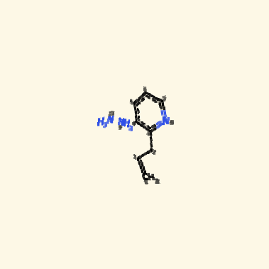 C=CCc1ccccn1.N.N